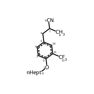 CCCCCCCOc1ccc(CC(C)C#N)cc1C(F)(F)F